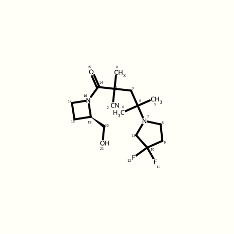 CC(C#N)(CC(C)(C)N1CCC(F)(F)C1)C(=O)N1CC[C@@H]1CO